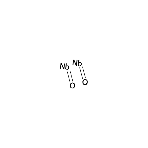 [O]=[Nb].[O]=[Nb]